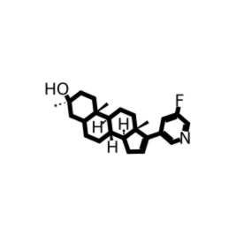 C[C@]1(O)CC[C@@]2(C)C(CC[C@@H]3[C@@H]2CC[C@]2(C)C(c4cncc(F)c4)=CC[C@@H]32)C1